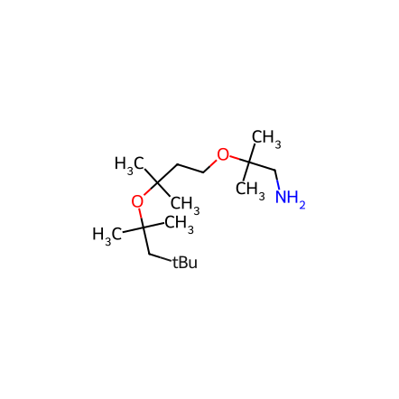 CC(C)(C)CC(C)(C)OC(C)(C)CCOC(C)(C)CN